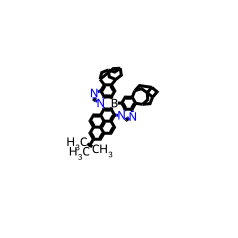 CC(C)(C)c1cc2ccc3c4c5c(c6ccc(c1)c2c36)-n1cnc2c3c(cc(c21)B5c1cc2c(c5ncn-4c15)C1CC4CC(CC2C4)C1)C1CC2CC4CC3CC24C1